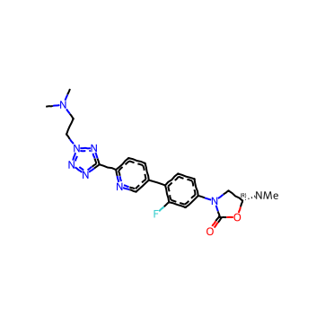 CN[C@H]1CN(c2ccc(-c3ccc(-c4nnn(CCN(C)C)n4)nc3)c(F)c2)C(=O)O1